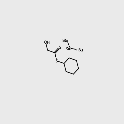 CCC[CH2][Sn][CH2]CCC.OCC(=S)SC1CCCCC1